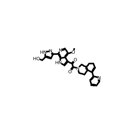 COc1cnc(-c2cc(CO)[nH]n2)c2[nH]cc(C(=O)C(=O)N3CCC4=C(CCC=C4c4ccccn4)C3)c12